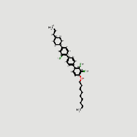 CCCCCCCCCOc1ccc(-c2ccc(-c3ccc(C4CCC(CCC)CC4)cc3F)cc2)c(F)c1F